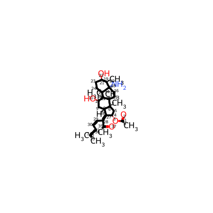 CC(=O)O[C@H]1C[C@@]2(C)[C@@H](C[C@@H](O)[C@@H]3[C@]2(C)CC[C@@]2(N)[C@H](C)[C@H](O)CC[C@]32C)/C1=C(\C=C/C=C(C)C)C(C)=O